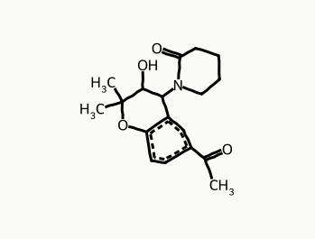 CC(=O)c1ccc2c(c1)C(N1CCCCC1=O)C(O)C(C)(C)O2